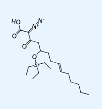 CCCCCC=CCCC(CC(=O)C(=[N+]=[N-])C(=O)O)O[Si](CC)(CC)CC